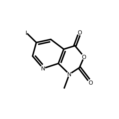 Cn1c(=O)oc(=O)c2cc(I)cnc21